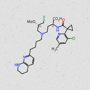 CO[C@H](CF)CN(CCCCc1ccc2c(n1)NCCC2)CC[C@H](NC(=O)C1(c2ncc(C)cc2Cl)CC1)C(=O)O